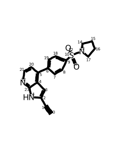 C#Cc1cc2c(-c3ccc(S(=O)(=O)N4CCCC4)cc3)ccnc2[nH]1